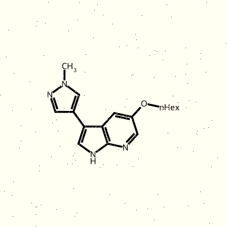 CCCCCCOc1cnc2[nH]cc(-c3cnn(C)c3)c2c1